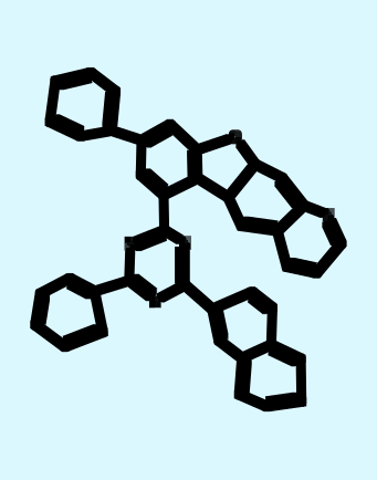 C1=c2cccnc2=CC2Oc3cc(-c4ccccc4)cc(-c4nc(-c5ccccc5)nc(-c5ccc6ccccc6c5)n4)c3C12